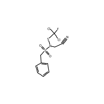 N#CCN(SC(F)(Cl)Cl)S(=O)(=O)Cc1ccccc1